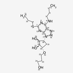 CCCCNc1nc(SCCC)nc2c1nnn2[C@@H]1C[C@H](OCCCO)[C@@H](O)[C@H]1O